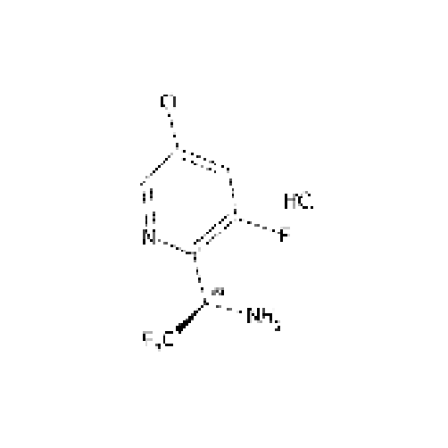 Cl.N[C@H](c1ncc(Cl)cc1F)C(F)(F)F